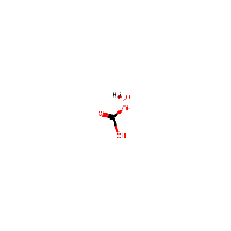 O.O=C(O)O.[LiH]